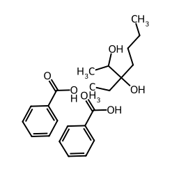 CCCCC(O)(CC)C(C)O.O=C(O)c1ccccc1.O=C(O)c1ccccc1